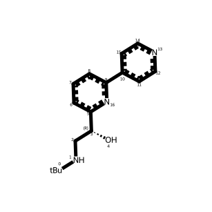 CC(C)(C)NC[C@@H](O)c1cccc(-c2ccncc2)n1